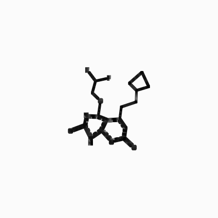 O=c1nc(OCC(F)F)c2c(CCC3CCC3)cc(=O)oc2[nH]1